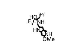 COC1C=c2[nH]c(CNC(O)(CC(C)C)C(F)(F)F)cc2=CN1